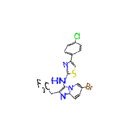 FC(F)(F)Cc1nc2ccc(Br)cn2c1Nc1nc(-c2ccc(Cl)cc2)cs1